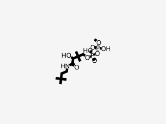 COP(=O)(O)OP(=O)(O)OCC(C)(C)C(O)C(=O)NCCC(C)(C)C